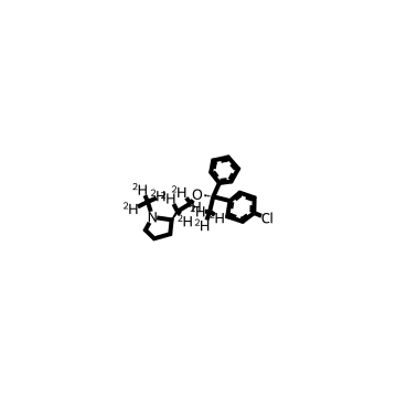 [2H]C([2H])([2H])N1CCC[C@@H]1C([2H])([2H])C([2H])([2H])O[C@](c1ccccc1)(c1ccc(Cl)cc1)C([2H])([2H])[2H]